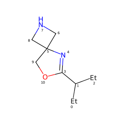 CCC(CC)C1=NC2(CNC2)CO1